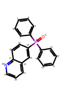 O=P(c1ccccc1)(c1ccccc1)c1ccc2ncccc2c1